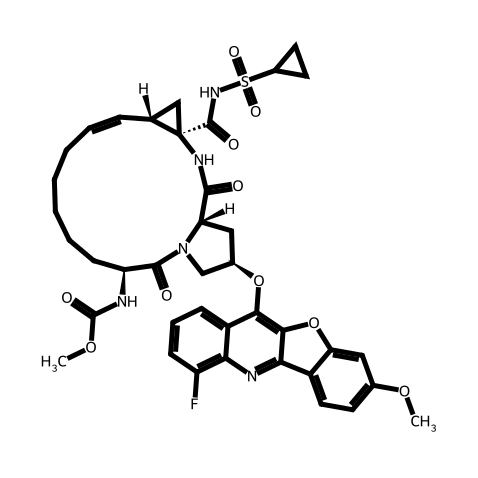 COC(=O)N[C@H]1CCCCC/C=C\[C@@H]2C[C@@]2(C(=O)NS(=O)(=O)C2CC2)NC(=O)[C@@H]2C[C@@H](Oc3c4cccc(F)c4nc4c3oc3cc(OC)ccc34)CN2C1=O